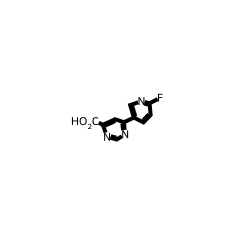 O=C(O)c1cc(-c2ccc(F)nc2)ncn1